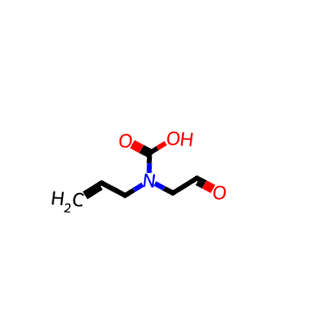 C=CCN(CC=O)C(=O)O